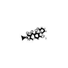 Cc1nn(C2CC2)c(O)c1C(=O)c1ccc(C(F)(F)F)c(N2CCCCC2=O)c1Cl